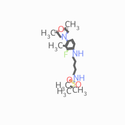 Cc1c(N2C[C@@H](C)O[C@@H](C)C2)ccc(NCCCCCNS(=O)(=O)C(C)(C)C)c1F